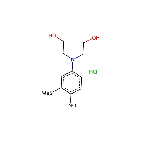 CSc1cc(N(CCO)CCO)ccc1N=O.Cl